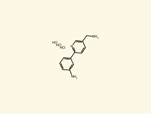 Cl.Cl.Cl.NCc1ccc(-c2cccc(N)c2)nc1